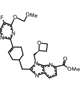 COCOc1nc(C2=CCC(Cc3nc4ccc(C(=O)OC)nc4n3C[C@@H]3CCO3)CC2)ncc1F